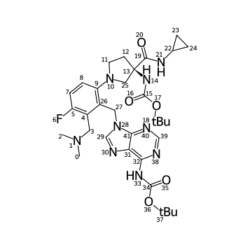 CN(C)Cc1c(F)ccc(N2CC[C@](NC(=O)OC(C)(C)C)(C(=O)NC3CC3)C2)c1Cn1cnc2c(NC(=O)OC(C)(C)C)ncnc21